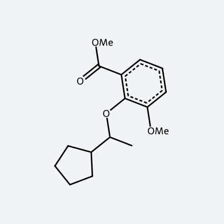 COC(=O)c1cccc(OC)c1OC(C)C1CCCC1